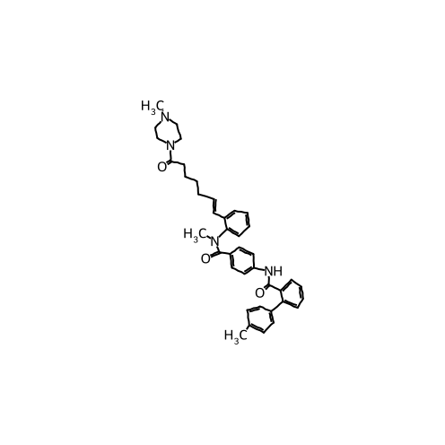 Cc1ccc(-c2ccccc2C(=O)Nc2ccc(C(=O)N(C)c3ccccc3C=CCCCCC(=O)N3CCN(C)CC3)cc2)cc1